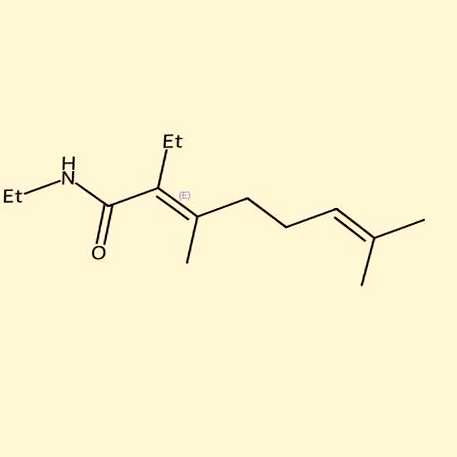 CCNC(=O)/C(CC)=C(\C)CCC=C(C)C